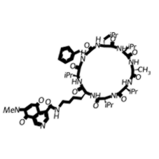 CNC1=CC(=O)c2c(C(=O)NCCCC[C@@H]3NC(=O)[C@@H](C(C)C)NC(=O)[C@H](C(C)C)NC(=O)[C@@H](C)NC(=O)[C@H](C(C)C)NC(=O)[C@@H](CC(C)C)NC(=O)[C@@H](Cc4ccccc4)NC(=O)[C@H](C(C)C)NC3=O)cncc2C1=O